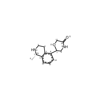 C[C@@H]1NCCc2c(C3CNC(=O)CO3)cccc21